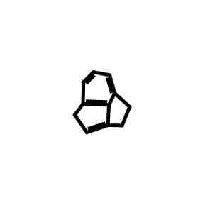 [c]1ccc2c3c1CC=C3CC2